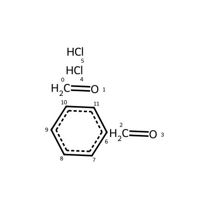 C=O.C=O.Cl.Cl.c1ccccc1